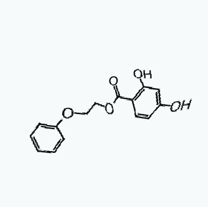 O=C(OCCOc1ccccc1)c1ccc(O)cc1O